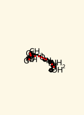 Cn1c(=O)n(C2CCC(=O)NC2=O)c2ccc(CCCCOc3cccc(CN4CCN(c5cc(-c6ccccc6O)nnc5N)CC4)c3)cc21